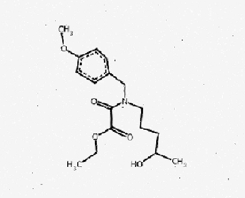 CCOC(=O)C(=O)N(CCCC(C)O)Cc1ccc(OC)cc1